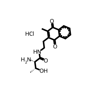 CC1=C(CCNC(=O)[C@@H](N)[C@@H](C)O)C(=O)c2ccccc2C1=O.Cl